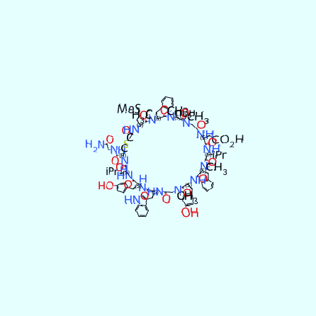 CCCC[C@H]1C(=O)N(C)CC(=O)N[C@@H](CC(=O)O)C(=O)N[C@@H](C(C)C)C(=O)N(C)[C@@H](Cc2ccccc2)C(=O)N[C@@H](Cc2ccc(O)cc2)C(=O)N(C)CC(=O)N[C@@H](Cc2c[nH]c3ccccc23)C(=O)N[C@@H](Cc2ccc(O)cc2)C(=O)N[C@@H](CC(C)C)C(=O)N[C@H](C(=O)NCC(N)=O)CSCC(=O)N[C@@H](CCSC)C(=O)N(C)[C@@H](Cc2ccccc2)C(=O)N1C